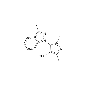 Cc1nn(C)c(-n2nc(C)c3ccccc32)c1C=O